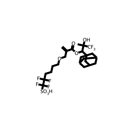 C=C(COCCCCC(F)(F)C(F)(F)S(=O)(=O)O)C(=O)OC(C12CC3CC(CC(C3)C1)C2)C(C)(O)C(F)(F)F